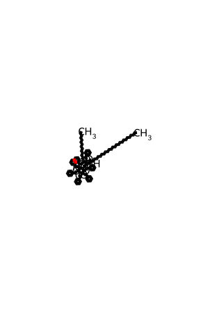 CCCCCCCCCCCCCCCCCCCCCCCCCC(=O)N[C@@H](CN[C@H]1C(OCc2ccccc2)C(OCc2ccccc2)[C@H](OCc2ccccc2)C(OCc2ccccc2)C1OCc1ccccc1)[C@H](OCc1ccccc1)[C@@H](CCCCCCCCCCCCCC)OCc1ccccc1